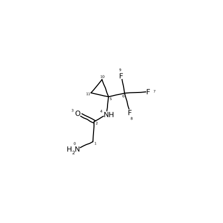 NCC(=O)NC1(C(F)(F)F)CC1